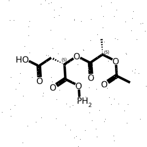 CC(=O)O[C@@H](C)C(=O)O[C@@H](CC(=O)O)C(=O)OP